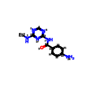 CCNc1ncnc(NC(=O)c2ccc(N)cc2)n1